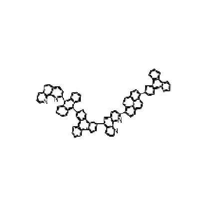 c1cnc2c(c1)ccc1ccc(-c3c4ccccc4c(-c4ccc5c(c4)c4ccccc4c4ccc(-c6cc7ccc(-c8ccc9ccc%10c(-c%11ccc%12c%13ccccc%13c%13ccccc%13c%12c%11)ccc%11ccc8c9c%11%10)nc7c7ncccc67)cc45)c4ccccc34)nc12